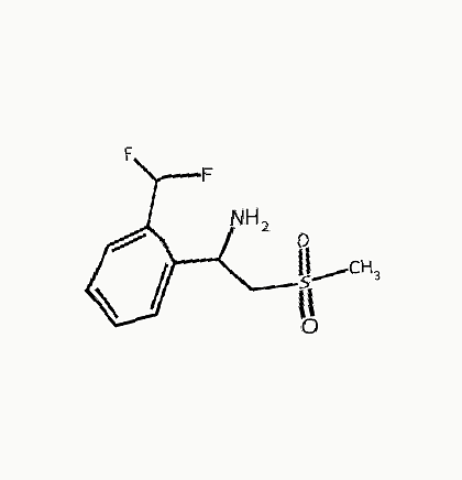 CS(=O)(=O)CC(N)c1ccccc1C(F)F